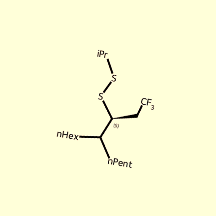 CCCCCCC(CCCCC)[C@H](CC(F)(F)F)SSC(C)C